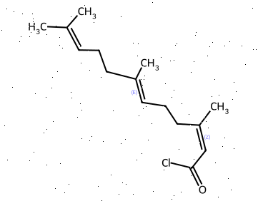 CC(C)=CCC/C(C)=C/CC/C(C)=C\C(=O)Cl